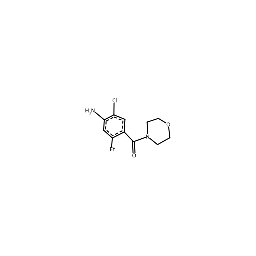 CCc1cc(N)c(Cl)cc1C(=O)N1CCOCC1